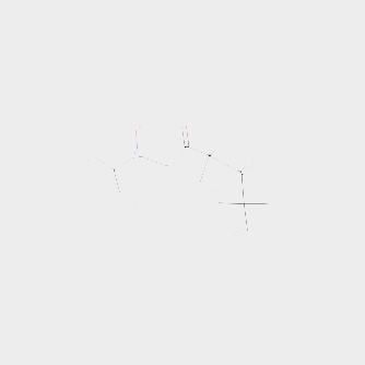 CC(C)N(O)CC(=O)C(C)(C)C(=O)C(C)(C)C=O